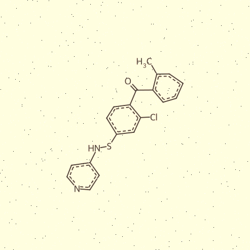 Cc1ccccc1C(=O)c1ccc(SNc2ccncc2)cc1Cl